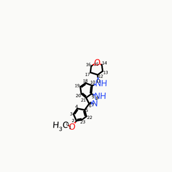 COc1ccc(-c2n[nH]c3c(NC4CCOCC4)cccc23)cc1